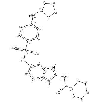 O=C(Nc1nc2cc(OS(=O)(=O)c3ccc(NC4CCCC4)cc3)ccc2[nH]1)C1CCCCC1